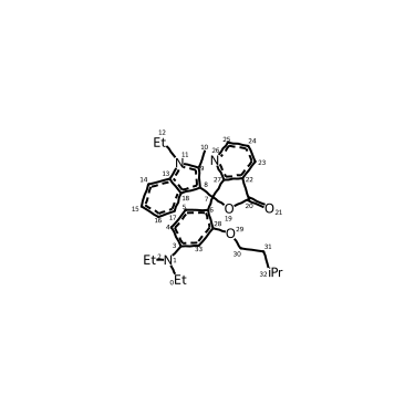 CCN(CC)c1ccc(C2(c3c(C)n(CC)c4ccccc34)OC(=O)c3cccnc32)c(OCCC(C)C)c1